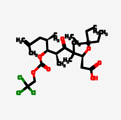 C=C(C)C[C@H](C)[C@H](OC(=O)OCC(Cl)(Cl)Cl)[C@@H](C)C(=O)C(C)(C)[C@H](CC(=O)O)O[Si](CC)(CC)CC